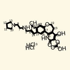 Cl.Cl.Cn1c(CNCCN2CCCC2)cc2cc3c(cc21)OCCc1c-3[nH]c(=O)c(OC(=O)O)c1O